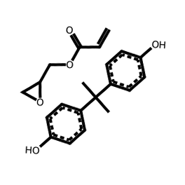 C=CC(=O)OCC1CO1.CC(C)(c1ccc(O)cc1)c1ccc(O)cc1